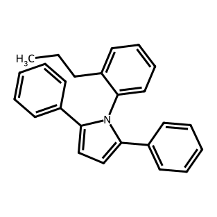 CCCc1ccccc1-n1c(-c2ccccc2)ccc1-c1ccccc1